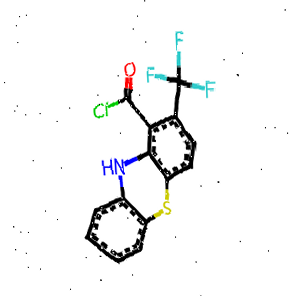 O=C(Cl)c1c(C(F)(F)F)ccc2c1Nc1ccccc1S2